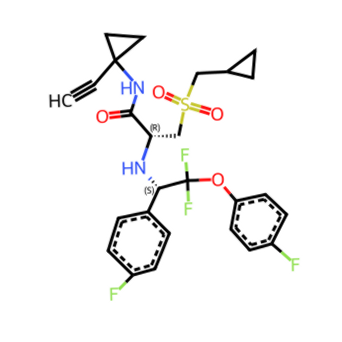 C#CC1(NC(=O)[C@H](CS(=O)(=O)CC2CC2)N[C@@H](c2ccc(F)cc2)C(F)(F)Oc2ccc(F)cc2)CC1